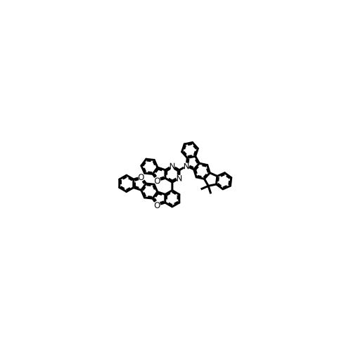 CC1(C)c2ccccc2-c2cc3c4ccccc4n(-c4nc(-c5cccc6oc7cc8c(cc7c56)oc5ccccc58)c5oc6ccccc6c5n4)c3cc21